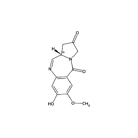 COc1cc2c(cc1O)N=C[C@@H]1CC(=O)CN1C2=O